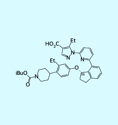 CCc1cc(O[C@H]2CCc3cccc(-c4cccc(-n5ncc(C(=O)O)c5CC)n4)c32)ccc1C1CCN(C(=O)OCC(C)C)CC1